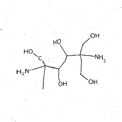 CC(N)(CO)C(O)C(O)C(N)(CO)CO